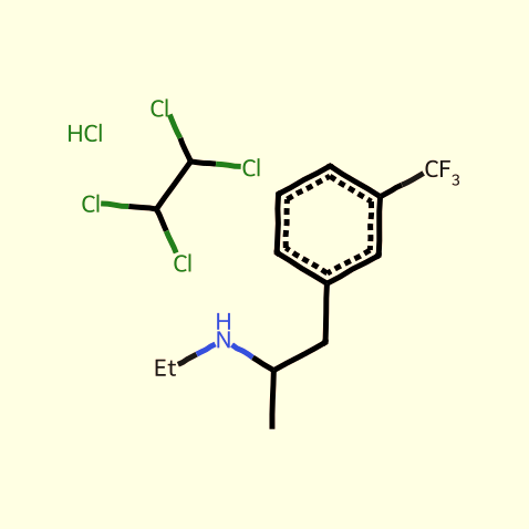 CCNC(C)Cc1cccc(C(F)(F)F)c1.Cl.ClC(Cl)C(Cl)Cl